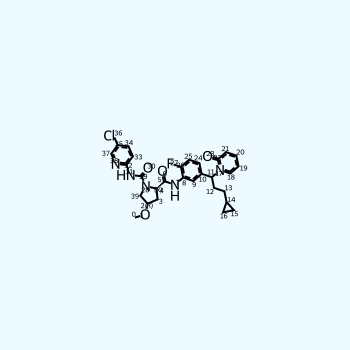 CO[C@@H]1C[C@H](C(=O)Nc2cc(C(CCC3CC3)n3ccccc3=O)ccc2F)N(C(=O)Nc2ccc(Cl)cn2)C1